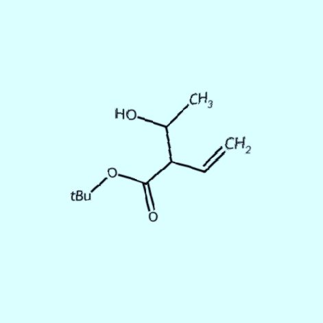 C=CC(C(=O)OC(C)(C)C)C(C)O